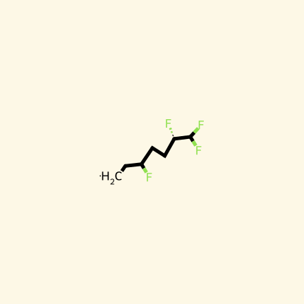 [CH2]CC(F)CC[C@H](F)C(F)F